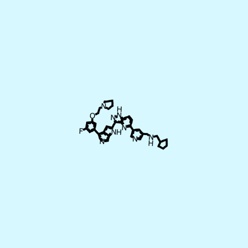 Fc1cc(OCCN2CCCC2)cc(-c2cncc3[nH]c(-c4n[nH]c5ccc(-c6cncc(CNCC7CCCC7)c6)nc45)cc23)c1